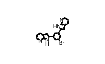 Brc1cc(-c2cc3cccnc3[nH]2)cc(-c2cc3cccnc3[nH]2)c1